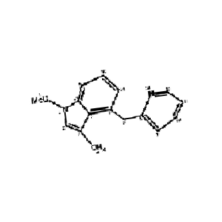 COn1[c]c(C)c2c(Cc3ccccn3)cccc21